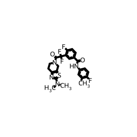 Cc1cc(NC(=O)c2ccc(F)c(C(F)(F)C(=O)N3CCc4nc(N(C)C)sc4C3)c2)ccc1F